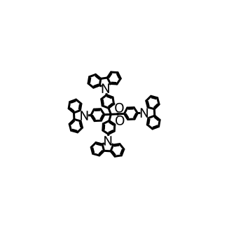 c1ccc2c(c1)c1ccccc1n2-c1ccc(C23Oc4cc(-n5c6ccccc6c6ccccc65)ccc4C2(c2ccc(-n4c5ccccc5c5ccccc54)cc2)c2ccc(-n4c5ccccc5c5ccccc54)cc2O3)cc1